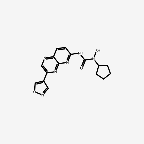 O=C(Nc1ccc2ncc(-c3cnoc3)nc2n1)N(S)C1CCCC1